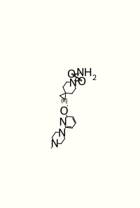 CN1CCN(c2cccc(OC[C@@H]3CC34CCN(S(N)(=O)=O)CC4)n2)CC1